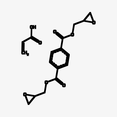 C=CC(=O)O.O=C(OCC1CO1)c1ccc(C(=O)OCC2CO2)cc1